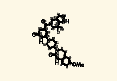 COc1ccc2c(c1)CCN(C1CCN(c3cc(C(=O)N4Cc5cn[nH]c5C(C)(C)C4)cc(=O)[nH]3)CC1)C(=O)N2